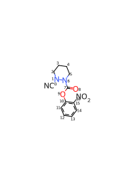 N#CN1CCCCN1C(=O)Oc1ccccc1[N+](=O)[O-]